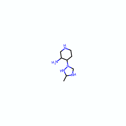 CC1NCN(C2CCNCC2N)N1